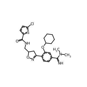 CN(C)C(=N)c1ccc(C2=NOC(CNC(=O)c3ccc(Cl)s3)C2)c(OC2CCCCC2)c1